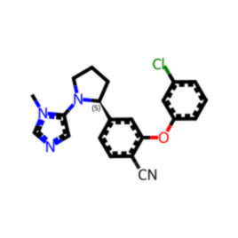 Cn1cncc1N1CCC[C@H]1c1ccc(C#N)c(Oc2cccc(Cl)c2)c1